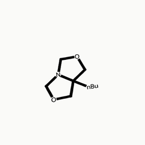 CCCCC12COCN1COC2